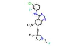 CC1(C#Cc2cc3ncnc(Nc4cccc(Cl)c4F)c3cc2[N+](=O)[O-])CCN(CCF)C1